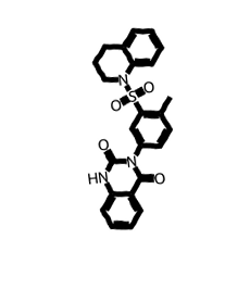 Cc1ccc(-n2c(=O)[nH]c3ccccc3c2=O)cc1S(=O)(=O)N1CCCc2ccccc21